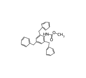 COC(=O)Nc1c(Cc2ccccc2)cc(Cc2ccccc2)cc1Cc1ccccc1